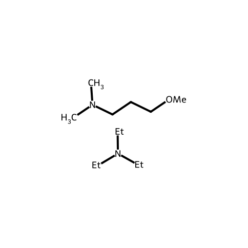 CCN(CC)CC.COCCCN(C)C